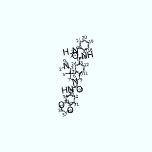 CN(C)CC(C)(C)CN(Cc1ccc(C(=O)Nc2ccccc2N)cc1)C(=O)Nc1ccc2c(c1)OCCO2